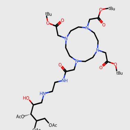 CC(=O)OCC(OC(C)=O)[C@H](OC(C)=O)C(O)CNCCNC(=O)CN1CCN(CC(=O)OC(C)(C)C)CCN(CC(=O)OC(C)(C)C)CCN(CC(=O)OC(C)(C)C)CC1